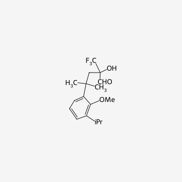 COc1c(C(C)C)cccc1C(C)(C)CC(O)(C=O)C(F)(F)F